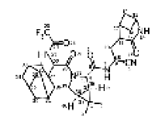 CC1(C)[C@@H]2[C@@H](C(=O)N[C@H](C#N)CC3C(=O)NC4CC3C4)N(C(=O)C(NC(=O)C(F)(F)F)C34CC5CC(CC(C5)C3)C4)C[C@@H]21